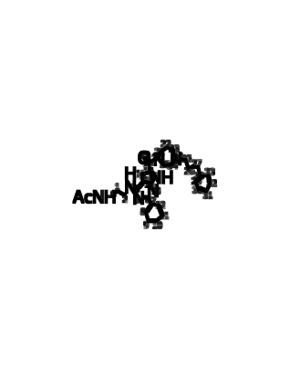 CC(=O)NCCNc1nc(-c2ccccc2)nc2c1CC(C(=O)N1CCCN(CCCc3ccccc3)CC1)N2